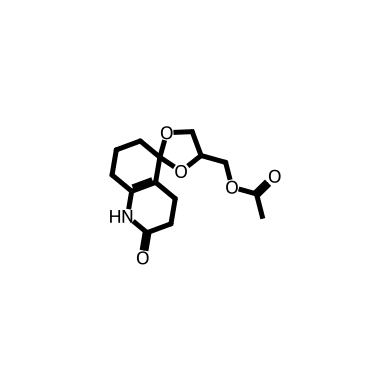 CC(=O)OCC1COC2(CCCC3=C2CCC(=O)N3)O1